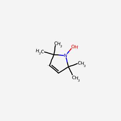 CC1(C)[C]=CC(C)(C)N1O